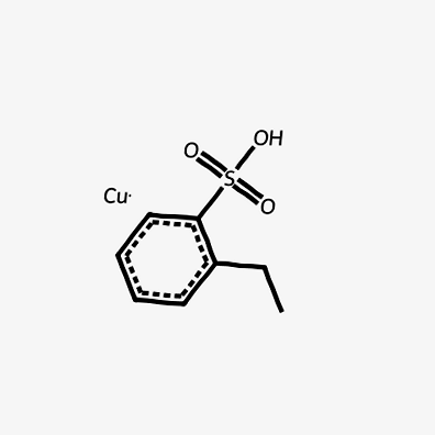 CCc1ccccc1S(=O)(=O)O.[Cu]